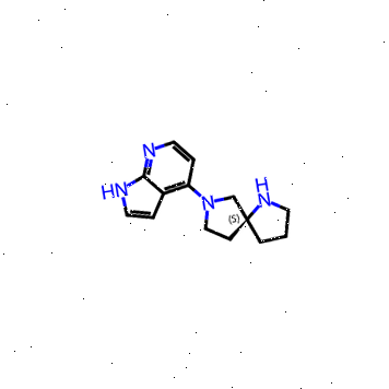 c1cc(N2CC[C@@]3(CCCN3)C2)c2cc[nH]c2n1